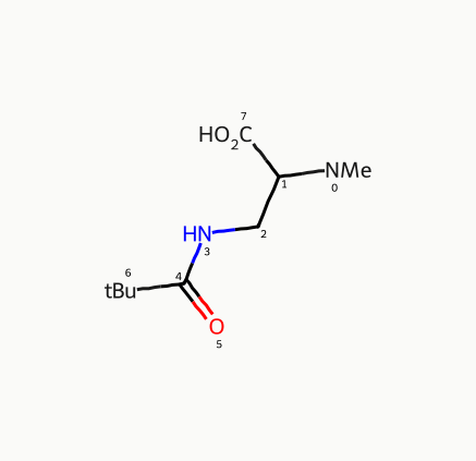 CNC(CNC(=O)C(C)(C)C)C(=O)O